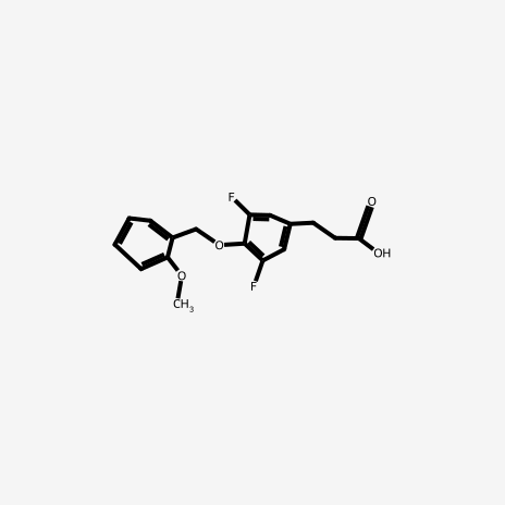 COc1ccccc1COc1c(F)cc(CCC(=O)O)cc1F